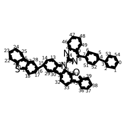 c1ccc(-c2ccc(-c3nc(-n4c5ccc(-c6ccc7sc8ccccc8c7c6)cc5c5ccc6c7ccccc7oc6c54)nc4ccccc34)cc2)cc1